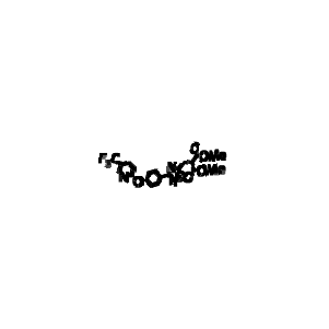 COC(=O)C(Cc1nc(-c2ccc(Oc3ccc(C(F)(F)F)cn3)cc2)no1)C(=O)OC